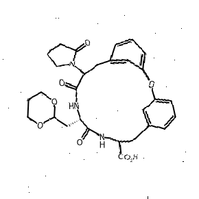 O=C(O)C1Cc2cccc(c2)Oc2cccc(c2)CC(N2CCCC2=O)C(=O)N[C@@H](CC2OCCCO2)C(=O)N1